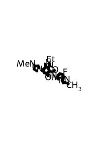 CCn1cc2c(N3CC[C@@H](NC)C3)cc(OC)c(C(=O)Nc3cc(F)c4nc(C)cn4c3)c2n1